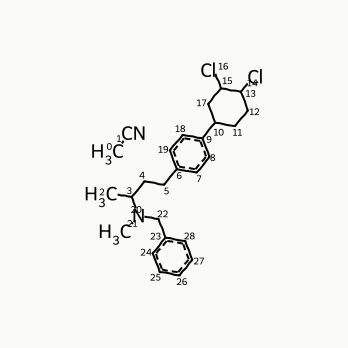 CC#N.CC(CCc1ccc(C2CCC(Cl)C(Cl)C2)cc1)N(C)Cc1ccccc1